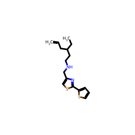 C=CCC(CC)CCNCc1csc(-c2cccs2)n1